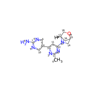 Cc1nc(-c2cnc(N)nc2)cc(N2CC3C[C@H]2CO3)n1